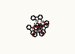 c1ccc2c(c1)c1ccccc1n2-c1cccc2c3ccccc3n(-c3cc(-n4c5ccccc5c5cccc(-n6c7ccccc7c7ccccc76)c54)nc(-n4c5ccccc5c5cccc(-n6c7ccccc7c7ccccc76)c54)c3)c12